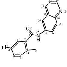 Cc1ccc(Cl)cc1C(=O)Nc1ccc2ncccc2c1